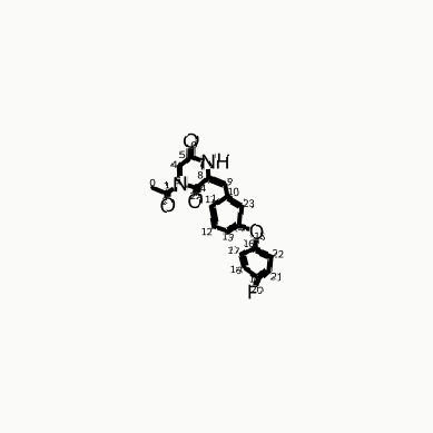 CC(=O)N1CC(=O)NC(=Cc2cccc(Oc3ccc(F)cc3)c2)C1=O